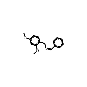 COc1ccc(C/N=C\c2ccccc2)c(OC)c1